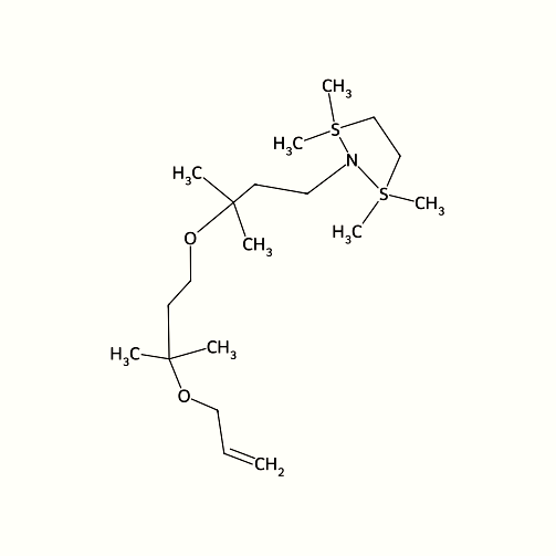 C=CCOC(C)(C)CCOC(C)(C)CCN1S(C)(C)CCS1(C)C